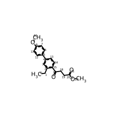 CCc1cc(-c2ccc(OC)cc2)ccc1C(=O)CCC(=O)OC